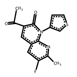 CC(=O)c1cc2cc(F)c(C)nc2n(-c2ccsc2)c1=O